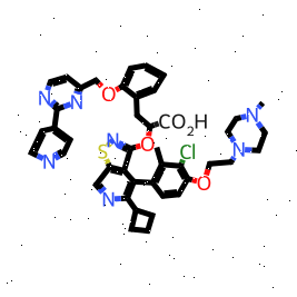 Cc1c(-c2c(C3CCC3)ncc3snc(OC(Cc4ccccc4OCc4ccnc(-c5ccncc5)n4)C(=O)O)c23)ccc(OCCN2CCN(C)CC2)c1Cl